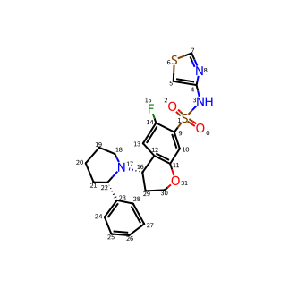 O=S(=O)(Nc1cscn1)c1cc2c(cc1F)[C@@H](N1CCCC[C@H]1c1ccccc1)CCO2